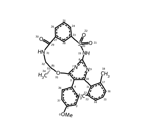 COc1ccc(-c2c3nc(nc2-c2c(C)cccc2C)NS(=O)(=O)c2cccc(c2)C(=O)NC[C@@H](C)O3)cc1